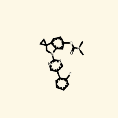 CN(C)C(=O)Oc1ccc2c(c1)N(c1ncc(-c3ccccc3F)cn1)CC21CC1